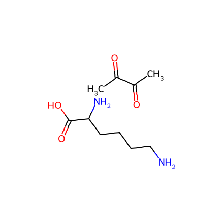 CC(=O)C(C)=O.NCCCCC(N)C(=O)O